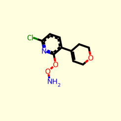 NOOc1nc(Cl)ccc1C1=CCOCC1